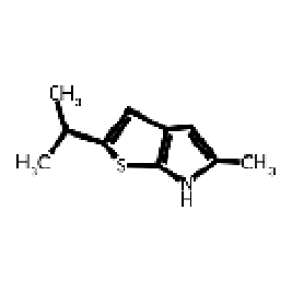 Cc1cc2cc(C(C)C)sc2[nH]1